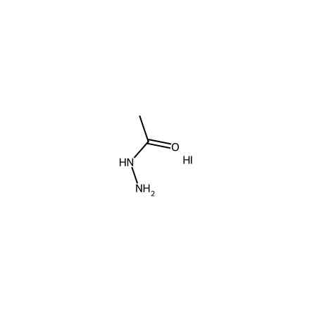 CC(=O)NN.I